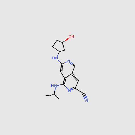 CC(C)Nc1nc(C#N)cc2cnc(NC3CC[C@@H](O)C3)cc12